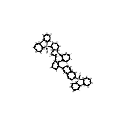 O=P1(c2ccc3cc(-c4cccc5c4c4ccccc4n4c6cccc(P7(=O)c8ccccc8-c8ccccc87)c6nc54)ccc3c2)c2ccccc2-c2ccccc21